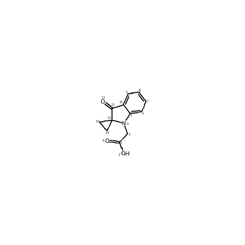 O=C(O)CN1c2ccccc2C(=O)C12CC2